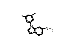 Cc1cc(C)cc(-n2ccc3ccc(N)cc32)c1